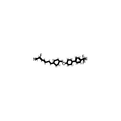 N#CC(F)=CC=CCCC1CCC(COC2CCC(c3ccc(C(F)(F)F)cc3)CC2)CC1